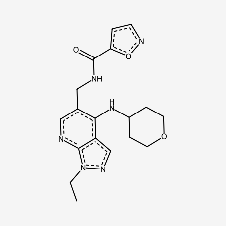 CCn1ncc2c(NC3CCOCC3)c(CNC(=O)c3ccno3)cnc21